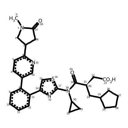 CN1CC(c2ccc(-c3ccccc3-c3csc(N(C(=O)[C@@H](CC(=O)O)CC4CCCC4)C4CC4)n3)cn2)CC1=O